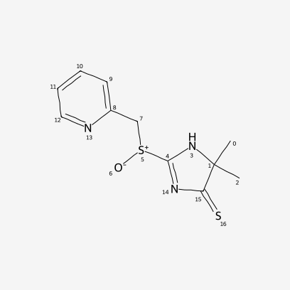 CC1(C)NC([S+]([O-])Cc2ccccn2)=NC1=S